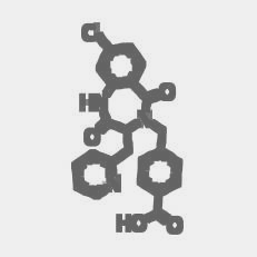 O=C(O)c1ccc(CN2C(=O)c3ccc(Cl)cc3NC(=O)C2Cc2ccccn2)cc1